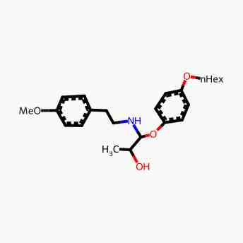 CCCCCCOc1ccc(OC(NCCc2ccc(OC)cc2)C(C)O)cc1